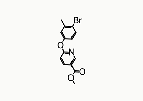 COC(=O)c1ccc(Oc2ccc(Br)c(C)c2)nc1